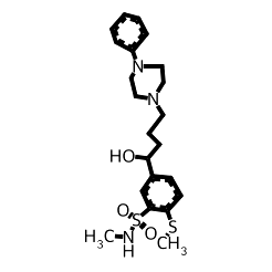 CNS(=O)(=O)c1cc(C(O)CCCN2CCN(c3ccccc3)CC2)ccc1SC